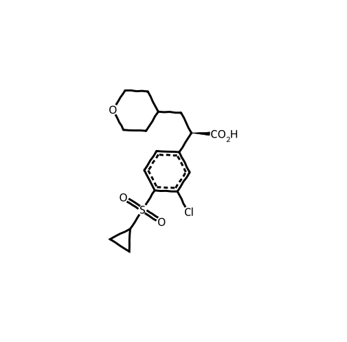 O=C(O)[C@H](CC1CCOCC1)c1ccc(S(=O)(=O)C2CC2)c(Cl)c1